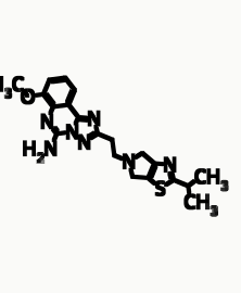 COc1cccc2c1nc(N)n1nc(CCN3Cc4nc(C(C)C)sc4C3)nc21